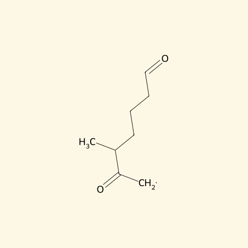 [CH2]C(=O)C(C)CCCC=O